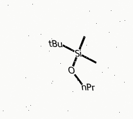 C[CH]CO[Si](C)(C)C(C)(C)C